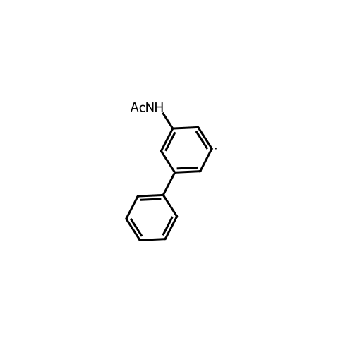 CC(=O)Nc1c[c]cc(-c2ccccc2)c1